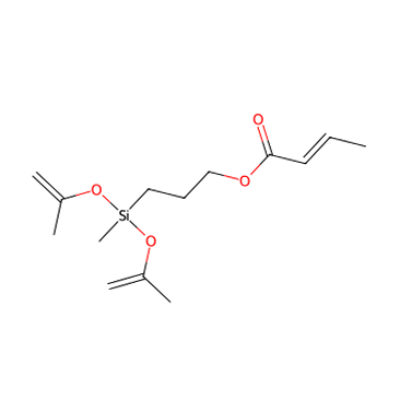 C=C(C)O[Si](C)(CCCOC(=O)C=CC)OC(=C)C